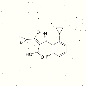 O=C(O)c1c(-c2c(F)cccc2C2CC2)noc1C1CC1